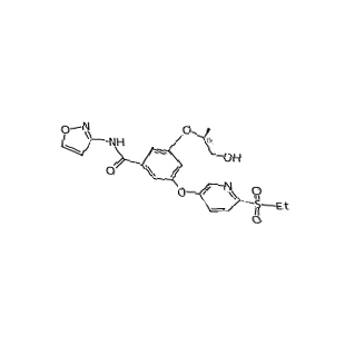 CCS(=O)(=O)c1ccc(Oc2cc(O[C@@H](C)CO)cc(C(=O)Nc3ccon3)c2)cn1